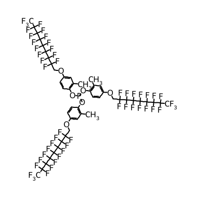 Cc1cc(OCC(F)(F)C(F)(F)C(F)(F)C(F)(F)C(F)(F)C(F)(F)C(F)(F)C(F)(F)F)ccc1OP(Oc1ccc(OCC(F)(F)C(F)(F)C(F)(F)C(F)(F)C(F)(F)C(F)(F)C(F)(F)C(F)(F)F)cc1C)Oc1ccc(OCC(F)(F)C(F)(F)C(F)(F)C(F)(F)C(F)(F)C(F)(F)C(F)(F)C(F)(F)F)cc1C